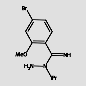 COc1cc(Br)ccc1C(=N)N(N)C(C)C